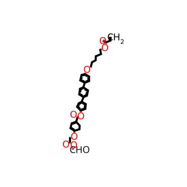 C=CC(=O)OCCCCCCOc1ccc(-c2ccc(-c3ccc(OC(=O)C4=CC=C(OCC(=O)OC=O)CC4)cc3)cc2)cc1